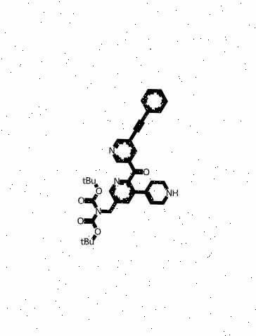 CC(C)(C)OC(=O)N(Cc1cnc(C(=O)c2cncc(C#Cc3ccccc3)c2)c(C2=CCNCC2)c1)C(=O)OC(C)(C)C